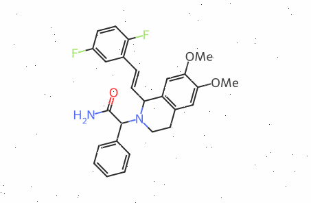 COc1cc2c(cc1OC)C(C=Cc1cc(F)ccc1F)N(C(C(N)=O)c1ccccc1)CC2